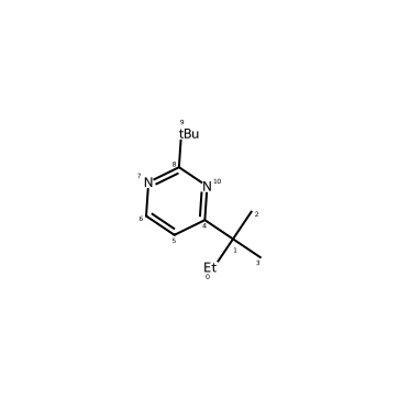 CCC(C)(C)c1ccnc(C(C)(C)C)n1